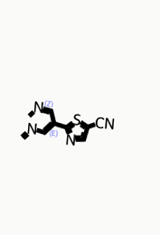 C=N/C=C(\C=N/C)c1ncc(C#N)s1